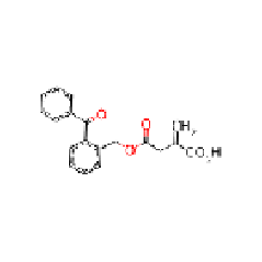 C=C(CC(=O)OCc1ccccc1C(=O)c1ccccc1)C(=O)O